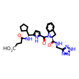 O=C(O)CCC(=O)N[C@@H](c1ccc(C(=O)N2c3ccccc3C[C@H]2C(=O)NCc2nn[nH]n2)[nH]1)C1CCCC1